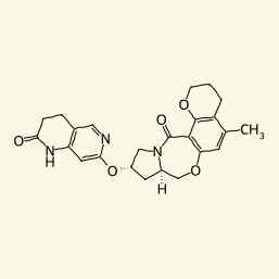 Cc1cc2c(c3c1CCCO3)C(=O)N1C[C@@H](Oc3cc4c(cn3)CCC(=O)N4)C[C@@H]1CO2